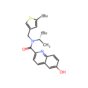 C[C@H](N(Cc1csc(C(C)(C)C)c1)C(=O)c1ccc2cc(O)ccc2n1)C(C)(C)C